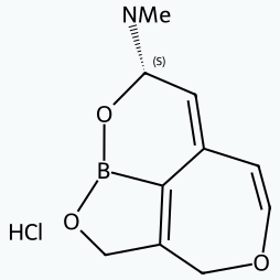 CN[C@@H]1C=C2C=COCC3=C2B(OC3)O1.Cl